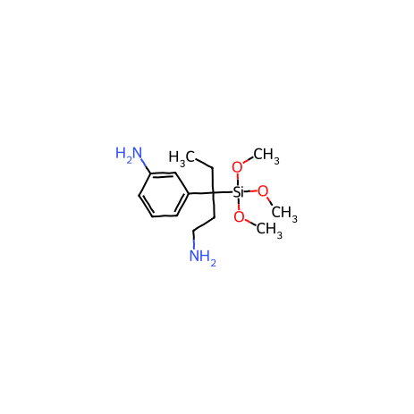 CCC(CCN)(c1cccc(N)c1)[Si](OC)(OC)OC